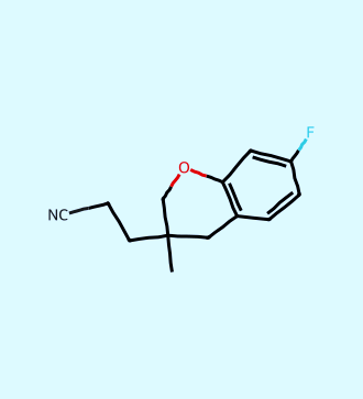 CC1(CCC#N)COc2cc(F)ccc2C1